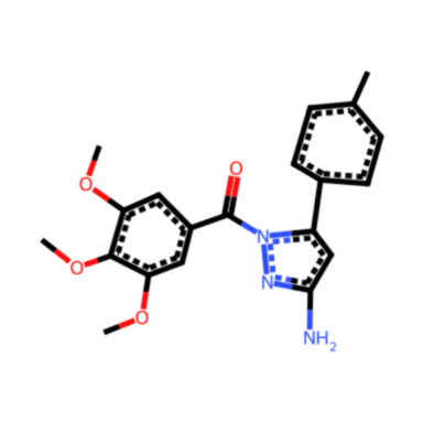 COc1cc(C(=O)n2nc(N)cc2-c2ccc(C)cc2)cc(OC)c1OC